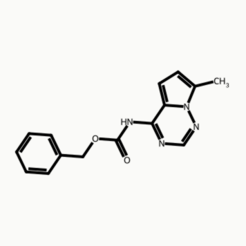 Cc1ccc2c(NC(=O)OCc3ccccc3)ncnn12